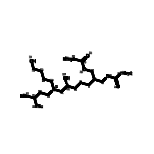 CCCCCCCC(=O)OCC(CCC[C@H](O)CN(CCCCO)CCC(CCCC)CCCC)COC(=O)CCCCCCC